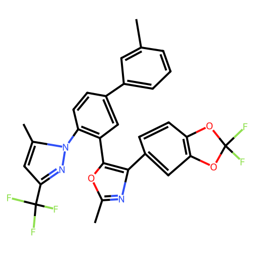 Cc1cccc(-c2ccc(-n3nc(C(F)(F)F)cc3C)c(-c3oc(C)nc3-c3ccc4c(c3)OC(F)(F)O4)c2)c1